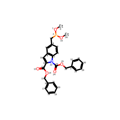 CCOP(Cc1ccc2c(c1)cc(C(=O)OCc1ccccc1)n2C(=O)OCc1ccccc1)OCC